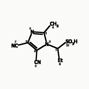 CCC(n1c(C)nc(C#N)c1C#N)S(=O)(=O)O